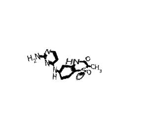 CC1C(=O)Nc2cc(Nc3ccnc(N)n3)ccc2S1(=O)=O